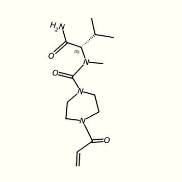 C=CC(=O)N1CCN(C(=O)N(C)[C@H](C(N)=O)C(C)C)CC1